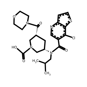 CC(C)CN(C(=O)c1cnc2ccsc2c1Cl)[C@H]1C[C@@H](C(=O)N2CCOCC2)CN(C(=O)O)C1